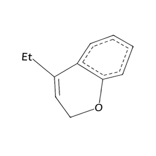 CCC1=CCOc2ccccc21